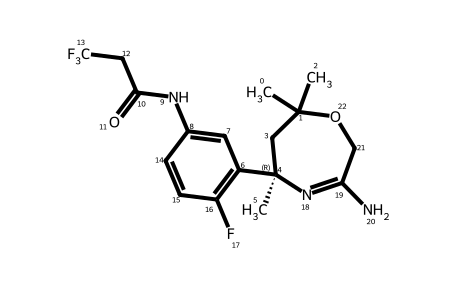 CC1(C)C[C@](C)(c2cc(NC(=O)CC(F)(F)F)ccc2F)N=C(N)CO1